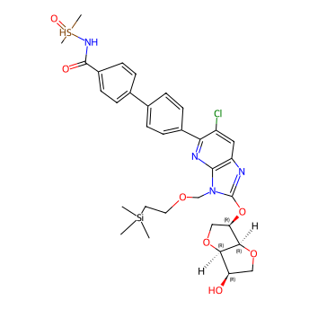 C[Si](C)(C)CCOCn1c(O[C@@H]2CO[C@H]3[C@@H]2OC[C@H]3O)nc2cc(Cl)c(-c3ccc(-c4ccc(C(=O)N[SH](C)(C)=O)cc4)cc3)nc21